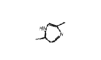 CC1=CNC(C)CC=N1